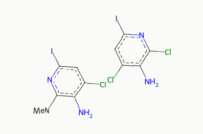 CNc1nc(I)cc(Cl)c1N.Nc1c(Cl)cc(I)nc1Cl